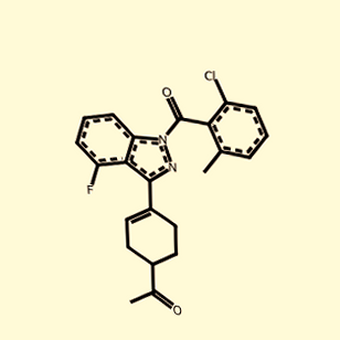 CC(=O)C1CC=C(c2nn(C(=O)c3c(C)cccc3Cl)c3cccc(F)c23)CC1